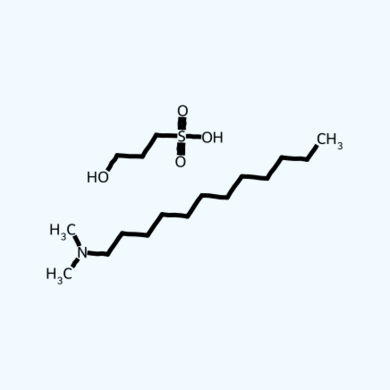 CCCCCCCCCCCCN(C)C.O=S(=O)(O)CCCO